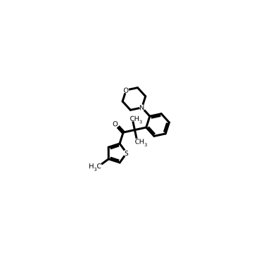 Cc1csc(C(=O)C(C)(C)c2ccccc2N2CCOCC2)c1